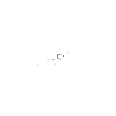 CNN(C)/N=C(\N)c1ccc(C(=O)OC)cc1